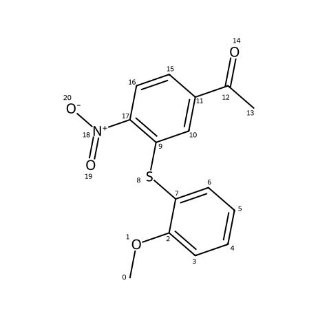 COc1ccccc1Sc1cc(C(C)=O)ccc1[N+](=O)[O-]